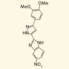 COc1ccc(-c2cc(-c3nc4cc([N+](=O)[O-])ccc4[nH]3)[nH]n2)cc1OC